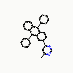 Cc1cc(-c2ccc3c(-c4ccccc4)c4ccccc4c(-c4ccccc4)c3c2)ncn1